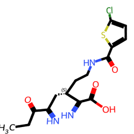 CCC(=O)C(=N)C[C@H](CCNC(=O)c1ccc(Cl)s1)C(=N)C(=O)O